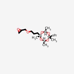 CCC[Si]1(C)O[SiH](C)O[Si](C)(CCCOCC2CO2)O[SiH](C)O1